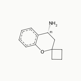 N[C@@H]1CC2(CCC2)Oc2ccccc21